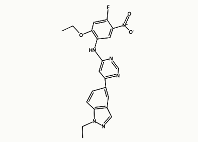 CCOc1cc(F)c([N+](=O)[O-])cc1Nc1cc(-c2ccc3c(cnn3CC)c2)ncn1